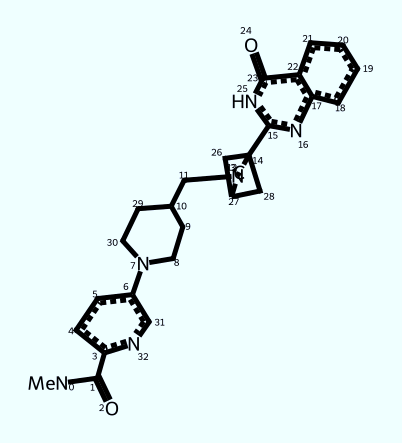 CNC(=O)c1ccc(N2CCC(CN3CC4(c5nc6ccccc6c(=O)[nH]5)CC3C4)CC2)cn1